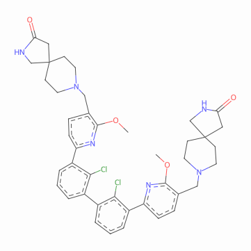 COc1nc(-c2cccc(-c3cccc(-c4ccc(CN5CCC6(CC5)CNC(=O)C6)c(OC)n4)c3Cl)c2Cl)ccc1CN1CCC2(CC1)CNC(=O)C2